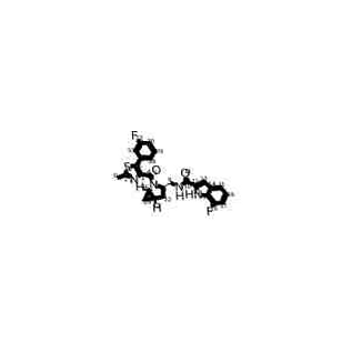 Cc1nc(C(=O)N2[C@H](CNC(=O)c3cc4cccc(F)c4[nH]3)C[C@@H]3C[C@@H]32)c(-c2cccc(F)c2)s1